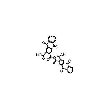 O=C(O)c1cc2c(cc1C(=O)OC(=O)c1cc3c(cc1C(=O)O)C(=O)c1ccccc1C3=O)C(=O)c1ccccc1C2=O